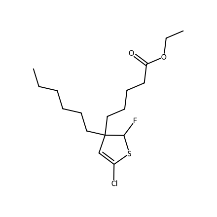 CCCCCCC1(CCCCC(=O)OCC)C=C(Cl)SC1F